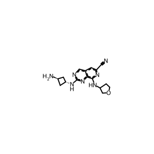 N#Cc1cc2cnc(N[C@H]3C[C@H](N)C3)nc2c(NC2CCOC2)n1